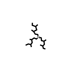 CCC(C)CC(C)CCN(CCC(C)CC(C)CC)CCC(C)CC(C)CC